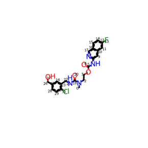 CN(CCOC(=O)Nc1cc2cc(F)ccc2cn1)C(=O)NCc1cc(CO)ccc1Cl